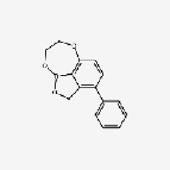 c1ccc(-c2ccc3c4c2COB4OCCO3)cc1